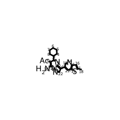 CC(=O)c1c(C2CCCCC2)nc2c(-c3cnc4cc(C)sc4c3)cnn2c1N